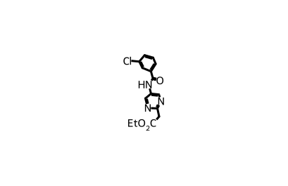 CCOC(=O)Cc1ncc(NC(=O)c2cccc(Cl)c2)cn1